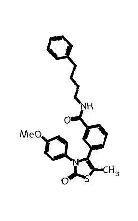 COc1ccc(-n2c(-c3cccc(C(=O)NCCCCc4ccccc4)c3)c(C)sc2=O)cc1